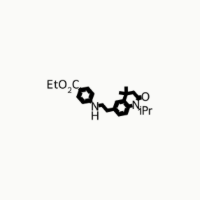 CCOC(=O)c1ccc(NCCc2ccc3c(c2)C(C)(C)CC(=O)N3C(C)C)cc1